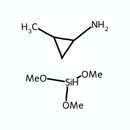 CC1CC1N.CO[SiH](OC)OC